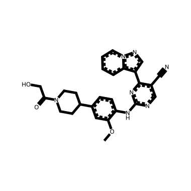 COc1cc(C2CCN(C(=O)CO)CC2)ccc1Nc1ncc(C#N)c(-c2cnn3ccccc23)n1